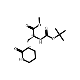 COC(=O)[C@H](C[C@@H]1CCCNC1=O)NC(=O)OC(C)(C)C